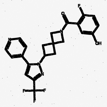 O=C(c1cc(O)ccc1F)N1CC2(CC(n3nc(C(F)(F)F)cc3-c3ccncc3)C2)C1